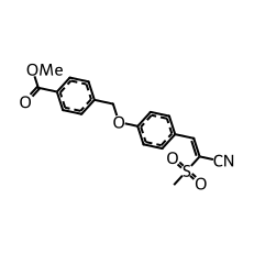 COC(=O)c1ccc(COc2ccc(C=C(C#N)S(C)(=O)=O)cc2)cc1